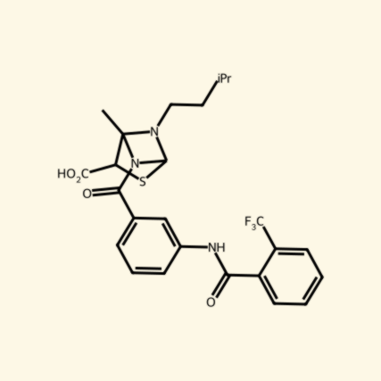 CC(C)CCN1C2SC(C(=O)O)C1(C)N2C(=O)c1cccc(NC(=O)c2ccccc2C(F)(F)F)c1